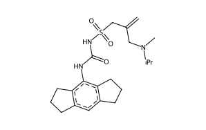 C=C(CN(C)C(C)C)CS(=O)(=O)NC(=O)Nc1c2c(cc3c1CCC3)CCC2